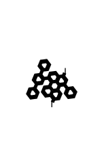 Ic1ccc2c3c(-c4ccccc4)cc(I)c4ccc(-c5cc(-c6ccccc6)ccc5-c5ccccc5)c(c5cccc1c25)c43